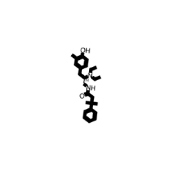 CCN(CC)[C@H](CNC(=O)CC(C)(C)c1ccccc1)Cc1ccc(O)c(C)c1